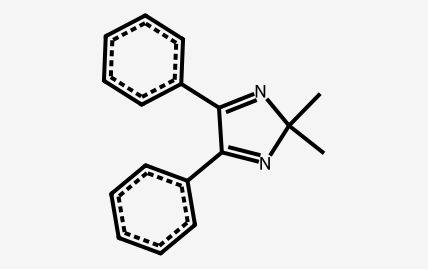 CC1(C)N=C(c2ccccc2)C(c2ccccc2)=N1